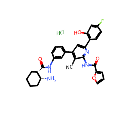 Cl.N#Cc1c(-c2cccc(NC(=O)[C@H]3CCCC[C@H]3N)c2)cc(-c2ccc(F)cc2O)nc1NC(=O)c1ccco1